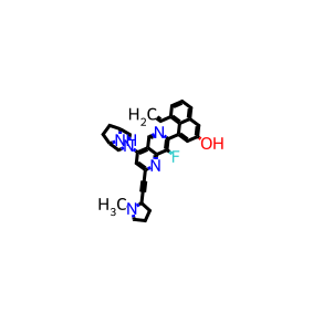 C=Cc1cccc2cc(O)cc(-c3ncc4c(N5CC6CCC(C5)N6)cc(C#CC5CCCN5C)nc4c3F)c12